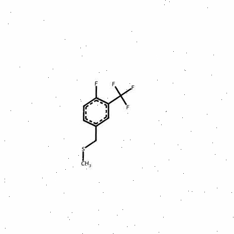 CSCc1ccc(F)c(C(F)(F)F)c1